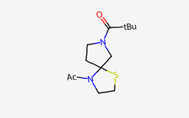 CC(=O)N1CCSC12CCN(C(=O)C(C)(C)C)C2